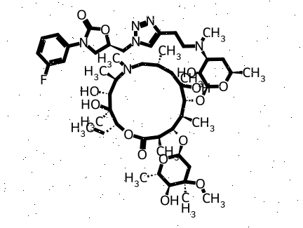 CC[C@H]1OC(=O)[C@H](C)[C@@H](O[C@H]2C[C@@](C)(OC)[C@@H](O)[C@H](C)O2)[C@H](C)[C@@H](O[C@@H]2O[C@H](C)C[C@H](N(C)CCc3cn(C[C@H]4CN(c5cccc(F)c5)C(=O)O4)nn3)[C@H]2O)[C@](C)(O)C[C@@H](C)CN(C)[C@H](C)[C@@H](O)[C@]1(C)O